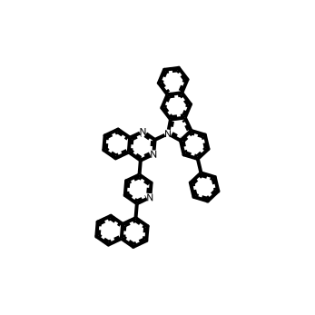 c1ccc(-c2ccc3c4cc5ccccc5cc4n(-c4nc(-c5ccc(-c6cccc7ccccc67)nc5)c5ccccc5n4)c3c2)cc1